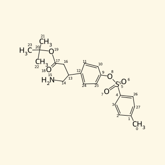 Cc1ccc(S(=O)(=O)Oc2ccc(C(CN)CC(=O)OC(C)(C)C)cc2)cc1